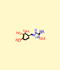 N=C(NO)N/N=C/c1ccc(O)c(O)c1O